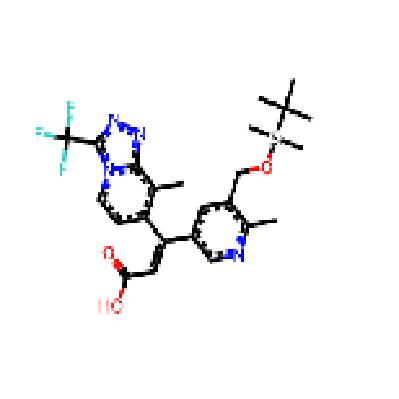 Cc1ncc(/C(=C/C(=O)O)c2ccn3c(C(F)(F)F)nnc3c2C)cc1CO[Si](C)(C)C(C)(C)C